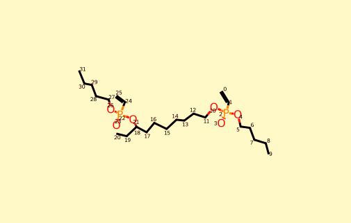 C=CP(=O)(OCCCCC)OCCCCCCCC(CC)OP(=O)(C=C)OCCCCC